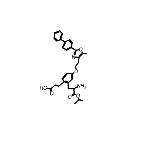 Cc1oc(-c2ccc(-c3ccccc3)cc2)nc1CCOc1ccc(CCC(=O)O)c(CC(N)C(=O)OC(C)C)c1